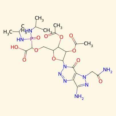 CC(=O)OC1C(COC(C(=O)O)P(=O)(NC(C)C)NC(C)C)OC(n2nnc3c(N)nn(CC(N)=O)c3c2=O)C1OC(C)=O